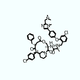 C[C@H](NCc1ccc(Cl)cc1Oc1ccc(-c2cnc(CN(C)C)n2C)cc1)C(=O)N[C@H]1COC(=O)C[C@@H](Cc2ccccc2)C(=O)N(C)[C@@]2(Cc3ccc(Cl)cc3)CCCN(C2)C1=O